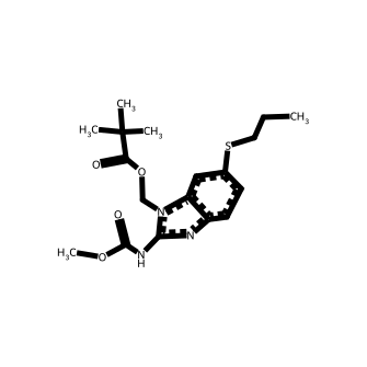 CCCSc1ccc2nc(NC(=O)OC)n(COC(=O)C(C)(C)C)c2c1